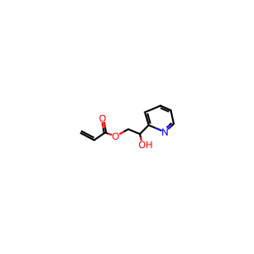 C=CC(=O)OCC(O)c1ccccn1